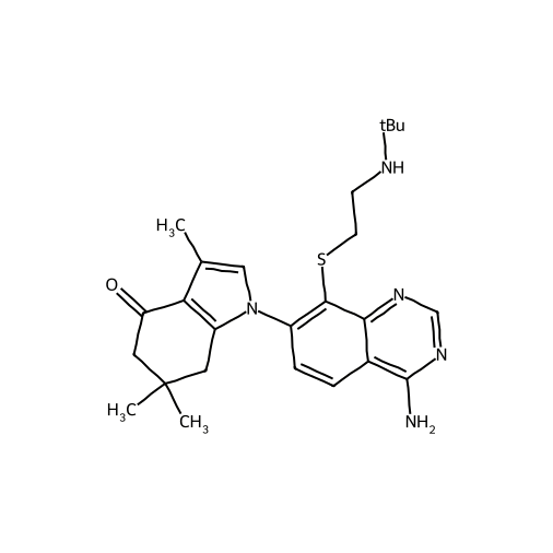 Cc1cn(-c2ccc3c(N)ncnc3c2SCCNC(C)(C)C)c2c1C(=O)CC(C)(C)C2